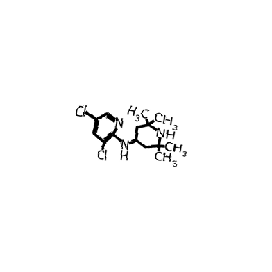 CC1(C)CC(Nc2ncc(Cl)cc2Cl)CC(C)(C)N1